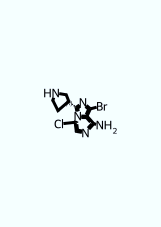 Nc1ncc(Cl)n2c([C@@H]3CCNC3)nc(Br)c12